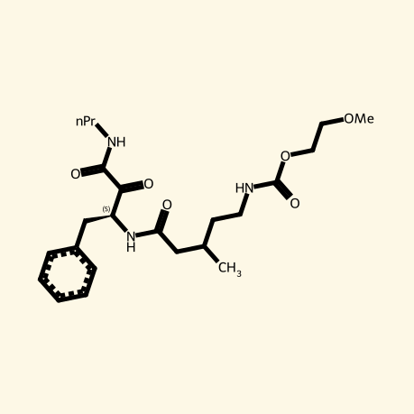 CCCNC(=O)C(=O)[C@H](Cc1ccccc1)NC(=O)CC(C)CCNC(=O)OCCOC